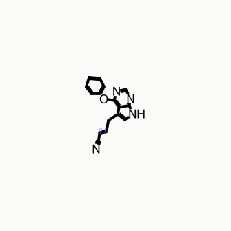 N#C/C=C/Cc1c[nH]c2ncnc(Oc3ccccc3)c12